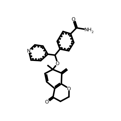 C=C1C2=C(C=CC1(C)OC(c1ccncc1)c1ccc(C(N)=O)cc1)C(=O)CCO2